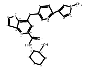 Cn1cc(-c2ccc(Cc3cc(C(=O)N[C@H]4CCCC[C@@H]4O)nc4ccoc34)cn2)cn1